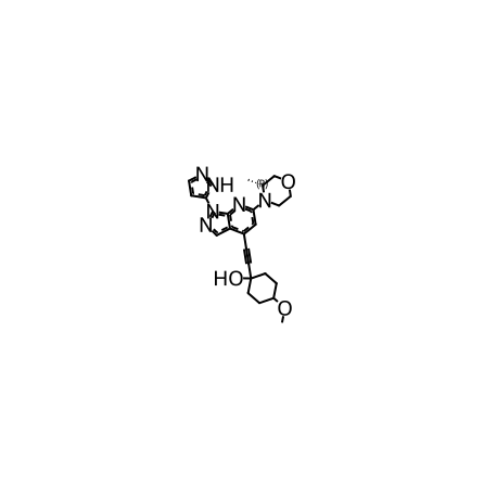 COC1CCC(O)(C#Cc2cc(N3CCOC[C@H]3C)nc3c2cnn3-c2ccn[nH]2)CC1